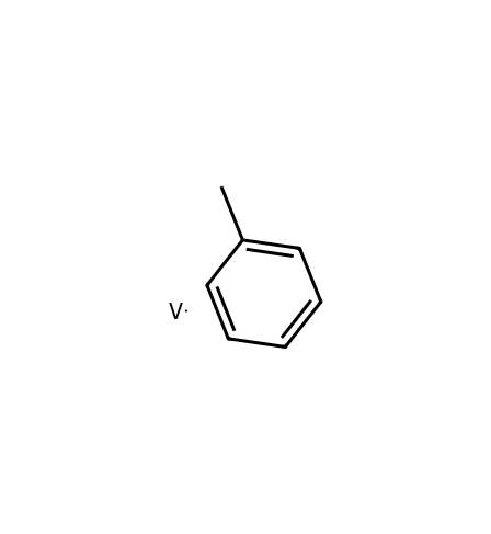 Cc1ccccc1.[V]